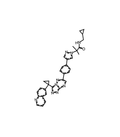 CC(C)(C(=O)NCC1CC1)n1cc(-c2ccc(-c3cnc4nnc(C5(c6ccc7ncccc7c6)CC5)n4n3)cc2)cn1